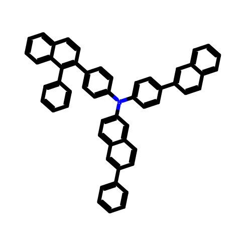 c1ccc(-c2ccc3cc(N(c4ccc(-c5ccc6ccccc6c5)cc4)c4ccc(-c5ccc6ccccc6c5-c5ccccc5)cc4)ccc3c2)cc1